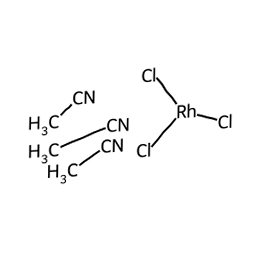 CC#N.CC#N.CC#N.[Cl][Rh]([Cl])[Cl]